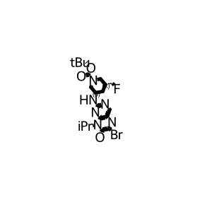 CC(C)n1c(=O)c(Br)nc2cnc(N[C@H]3C[C@@H](CF)CN(C(=O)OC(C)(C)C)C3)nc21